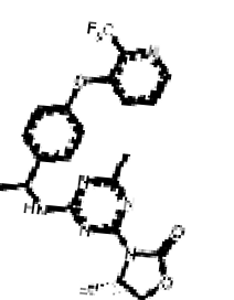 CC[C@H]1COC(=O)N1c1nc(C)nc(NC(C)c2ccc(Oc3cccnc3C(F)(F)F)cc2)n1